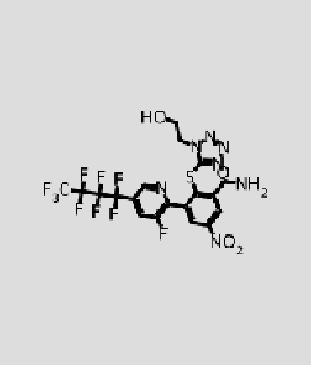 NC(=O)c1cc([N+](=O)[O-])cc(-c2ncc(C(F)(F)C(F)(F)C(F)(F)C(F)(F)F)cc2F)c1Sc1nnnn1CCO